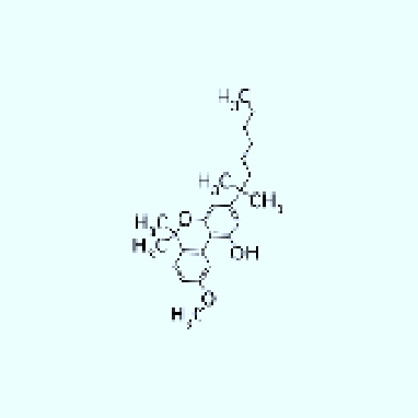 CCCCCCC(C)(C)c1cc(O)c2c(c1)OC(C)(C)c1ccc(OC)cc1-2